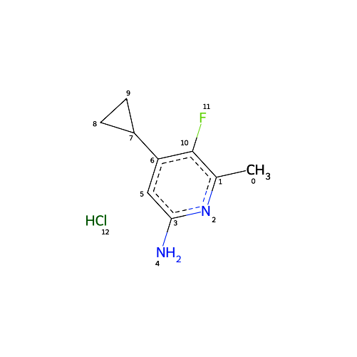 Cc1nc(N)cc(C2CC2)c1F.Cl